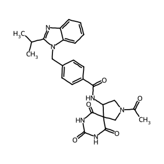 CC(=O)N1CC(NC(=O)c2ccc(Cn3c(C(C)C)nc4ccccc43)cc2)C2(C1)C(=O)NC(=O)NC2=O